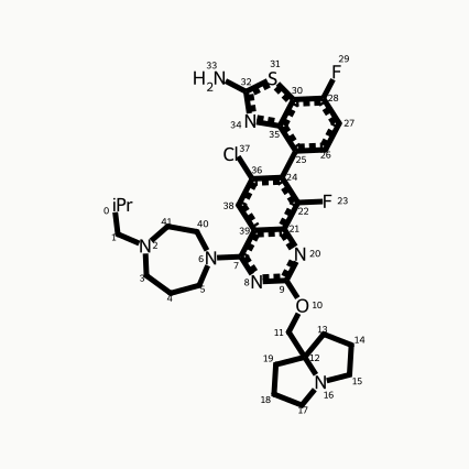 CC(C)CN1CCCN(c2nc(OCC34CCCN3CCC4)nc3c(F)c(-c4ccc(F)c5sc(N)nc45)c(Cl)cc23)CC1